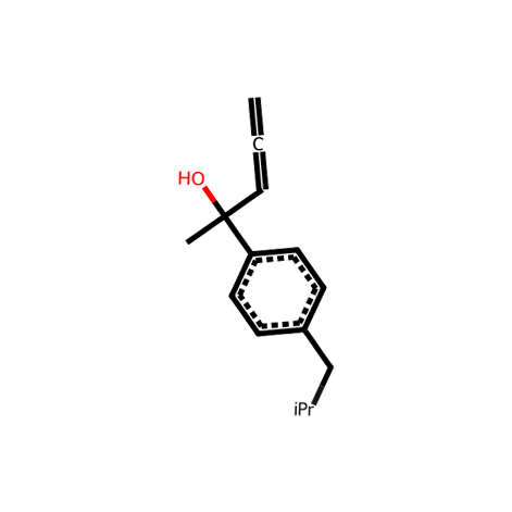 C=C=CC(C)(O)c1ccc(CC(C)C)cc1